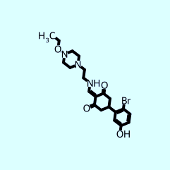 CCON1CCN(CCNC=C2C(=O)CC(c3cc(O)ccc3Br)CC2=O)CC1